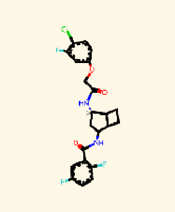 O=C(COc1ccc(Cl)c(F)c1)N[C@H]1CC(NC(=O)c2cc(F)ccc2F)C2CCC21